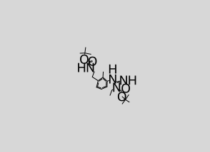 CCN(C(=N)Nc1cccc(CCNC(=O)OC(C)(C)C)c1C)C(=O)OC(C)(C)C